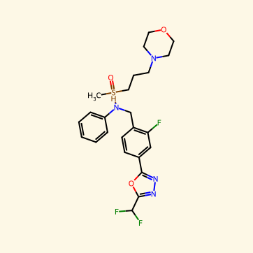 C[SH](=O)(CCCN1CCOCC1)N(Cc1ccc(-c2nnc(C(F)F)o2)cc1F)c1ccccc1